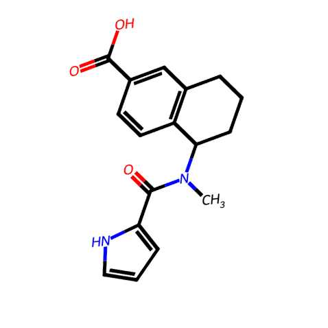 CN(C(=O)c1ccc[nH]1)C1CCCc2cc(C(=O)O)ccc21